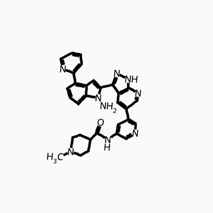 CN1CCC(C(=O)Nc2cncc(-c3cnc4[nH]nc(-c5cc6c(-c7ccccn7)cccc6n5N)c4c3)c2)CC1